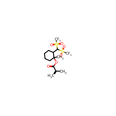 C=C(C)C(=O)OC1(C)CCCCC1C(S(=O)(=O)C(F)(F)F)S(=O)(=O)C(F)(F)F